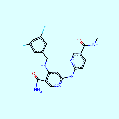 CNC(=O)c1ccc(Nc2cc(NCc3cc(F)cc(F)c3)c(C(N)=O)cn2)nc1